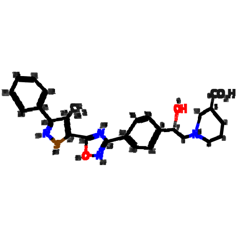 O=C(O)C1CCCN(C[C@@H](O)c2ccc(-c3noc(-c4snc(-c5ccccc5)c4C(F)(F)F)n3)cc2)C1